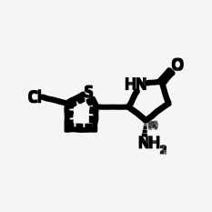 N[C@H]1CC(=O)NC1c1ccc(Cl)s1